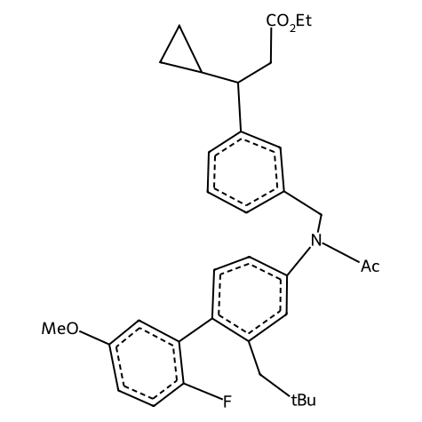 CCOC(=O)CC(c1cccc(CN(C(C)=O)c2ccc(-c3cc(OC)ccc3F)c(CC(C)(C)C)c2)c1)C1CC1